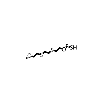 COCCSCCSCCOSS